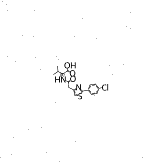 CC(C)[C@@H](NC(=O)Cc1csc(-c2ccc(Cl)cc2)n1)C(=O)O